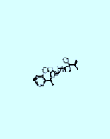 C=C(C)C(=O)OCCOC(=C)c1ccccc1C(=O)O